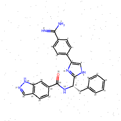 N=C(N)c1ccc(-c2c[nH]c([C@H](Cc3ccccc3)NC(=O)c3ccc4cn[nH]c4c3)n2)cc1